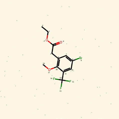 CCOC(=O)Cc1cc(Br)cc(C(F)(F)F)c1OC